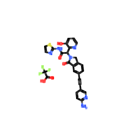 Nc1ccc(C#Cc2ccc3c(c2)C(=O)N(C(C(=O)Nc2nccs2)c2ncccc2O)C3)cn1.O=C(O)C(F)(F)F